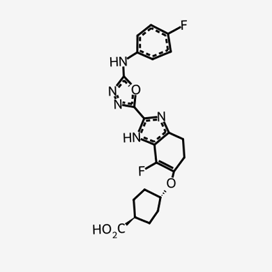 O=C(O)[C@H]1CC[C@H](OC2=C(F)c3[nH]c(-c4nnc(Nc5ccc(F)cc5)o4)nc3CC2)CC1